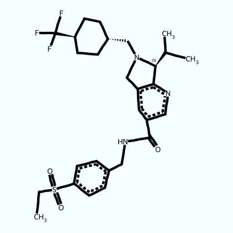 CCS(=O)(=O)c1ccc(CNC(=O)c2cnc3c(c2)CN(C[C@H]2CC[C@H](C(F)(F)F)CC2)[C@H]3C(C)C)cc1